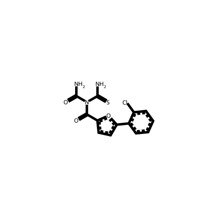 NC(=O)N(C(=O)c1ccc(-c2ccccc2Cl)o1)C(N)=S